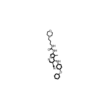 Cc1c(NC(=O)NCCCN2CCOCC2)cn2ncc(C#N)c(Nc3ccc(Oc4ccccc4)cc3)c12